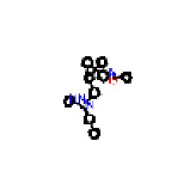 C1=CCC(C2C=C(C3C=CC(c4ccccc4)=CC3)N=C(C3=CCCC(c4ccc5c(c4)C(c4ccccc4)(c4ccc6oc(-c7ccccc7)nc6c4)c4ccccc4-5)=C3)N2)CC1